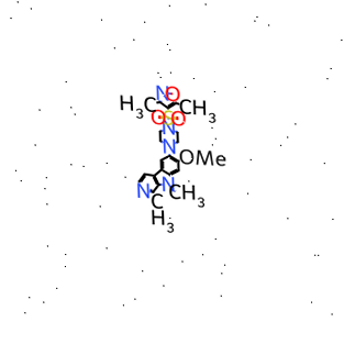 COc1cc2c(cc1N1CCN(S(=O)(=O)c3c(C)noc3C)CC1)c1ccnc(C)c1n2C